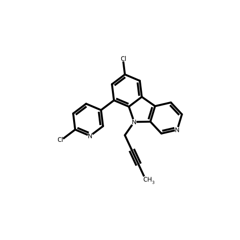 CC#CCn1c2cnccc2c2cc(Cl)cc(-c3ccc(Cl)nc3)c21